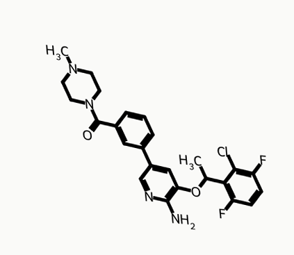 CC(Oc1cc(-c2cccc(C(=O)N3CCN(C)CC3)c2)cnc1N)c1c(F)ccc(F)c1Cl